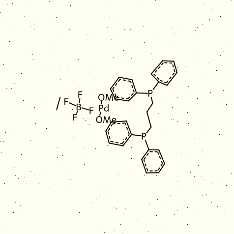 CC.C[O][Pd][O]C.F[B-](F)(F)F.c1ccc(P(CCCP(c2ccccc2)c2ccccc2)c2ccccc2)cc1